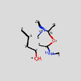 CCCCO.CNC(C)OC(C)N(C)C